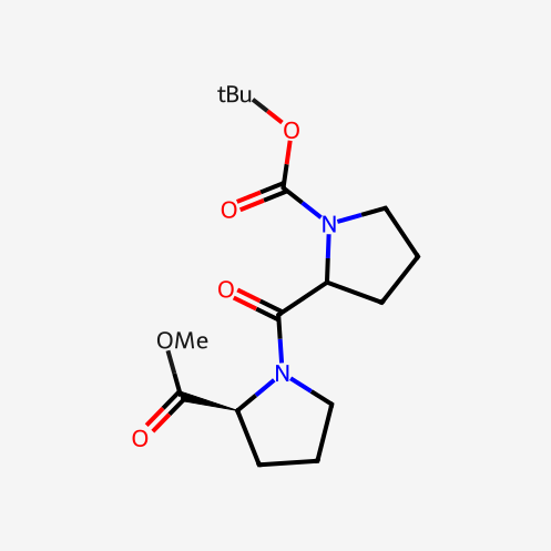 COC(=O)[C@@H]1CCCN1C(=O)C1CCCN1C(=O)OC(C)(C)C